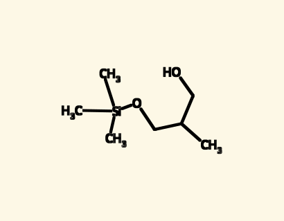 CC(CO)CO[Si](C)(C)C